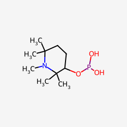 CN1C(C)(C)CCC(OP(O)O)C1(C)C